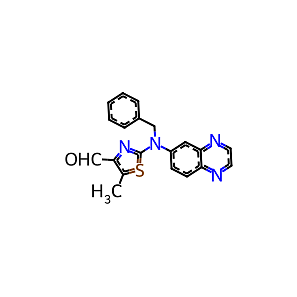 Cc1sc(N(Cc2ccccc2)c2ccc3nccnc3c2)nc1C=O